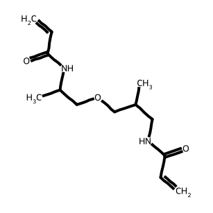 C=CC(=O)NCC(C)COCC(C)NC(=O)C=C